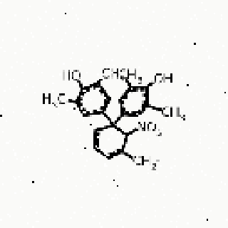 [CH2]C1=CC=CC(c2cc(C)c(O)c(C)c2)(c2cc(C)c(O)c(C)c2)C1[N+](=O)[O-]